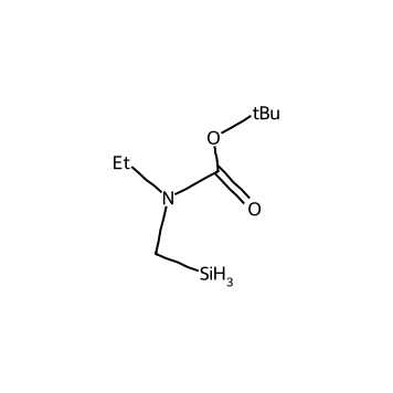 CCN(C[SiH3])C(=O)OC(C)(C)C